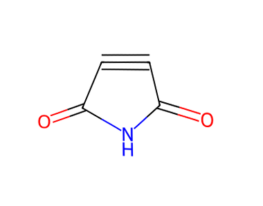 O=C1C#CC(=O)N1